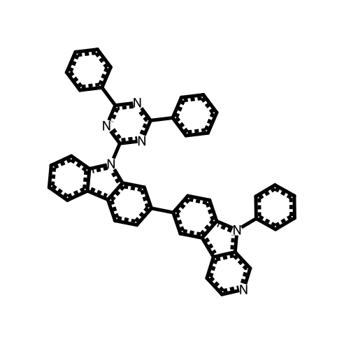 c1ccc(-c2nc(-c3ccccc3)nc(-n3c4ccccc4c4ccc(-c5ccc6c(c5)c5ccncc5n6-c5ccccc5)cc43)n2)cc1